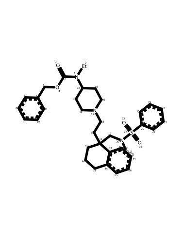 CCN(C(=O)OCc1ccccc1)C1CCN(CCC2(CN(C)S(=O)(=O)c3ccccc3)CCCc3ccccc32)CC1